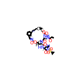 C=CC[C@](C)(NC(=O)[C@@H]1C[C@@H]2CN1C(=O)[C@H](CN(C)C(=O)C=C)NC(=O)OCC(C)(C)CC/C=C/c1cccc3c1CN(C3)C(=O)O2)C(=O)NS(=O)(=O)C1CC1